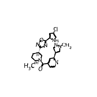 C[C@@H]1CC[C@H](c2noc(-c3cc(Cl)c[nH]3)n2)CN1C(=O)c1ccnc(C2C=NN(C)C2)c1